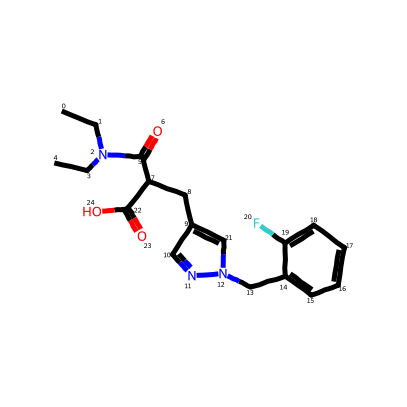 CCN(CC)C(=O)C(Cc1cnn(Cc2ccccc2F)c1)C(=O)O